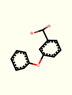 BrC(Br)c1cccc(Oc2ccccc2)c1